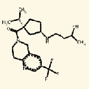 CC(O)CCN[C@@H]1CC[C@@](C(=O)N2CCc3ncc(C(F)(F)F)cc3C2)(C(C)C)C1